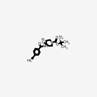 C#Cc1ccc(C(=O)NC2(C)CCN(C(=O)OC(C)(C)C)CC2)cc1